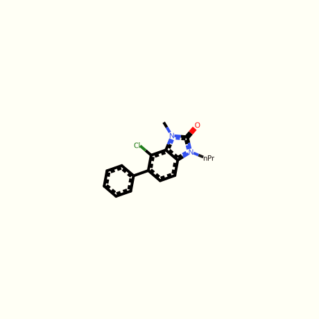 CCCn1c(=O)n(C)c2c(Cl)c(-c3ccccc3)ccc21